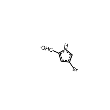 O=[C]c1cc(Br)c[nH]1